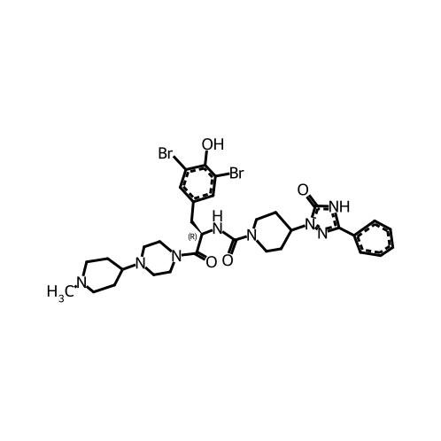 CN1CCC(N2CCN(C(=O)[C@@H](Cc3cc(Br)c(O)c(Br)c3)NC(=O)N3CCC(n4nc(-c5ccccc5)[nH]c4=O)CC3)CC2)CC1